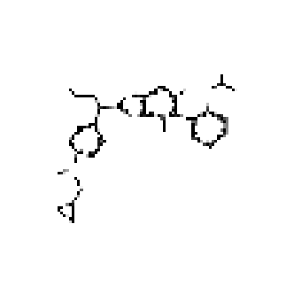 CC[SH](CC1CC1)c1ccc(C(CCO)c2nc3cc(Cl)c(-c4ccccc4OC(F)F)c(Cl)c3[nH]2)cc1